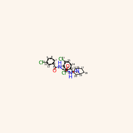 O=C(CNC(=O)c1cccc(Cl)c1)NC1CC2CCC(C1)N2Cc1ccc(Cl)cc1Cl